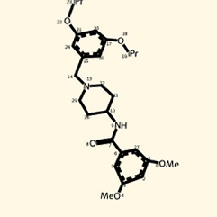 COc1cc(OC)cc(C(=O)NC2CCN(Cc3cc(OC(C)C)cc(OC(C)C)c3)CC2)c1